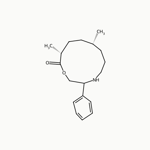 C[C@@H]1CCCNC(c2ccccc2)COC(=O)[C@H](C)CC1